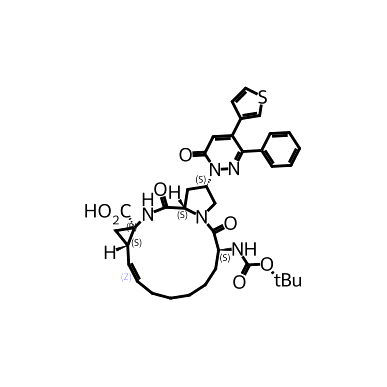 CC(C)(C)OC(=O)N[C@H]1CCCCC/C=C\[C@@H]2C[C@@]2(C(=O)O)NC(=O)[C@@H]2C[C@H](n3nc(-c4ccccc4)c(-c4ccsc4)cc3=O)CN2C1=O